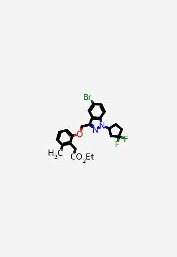 CCOC(=O)Cc1c(C)cccc1OCc1nn(C2CCC(F)(F)C2)c2ccc(Br)cc12